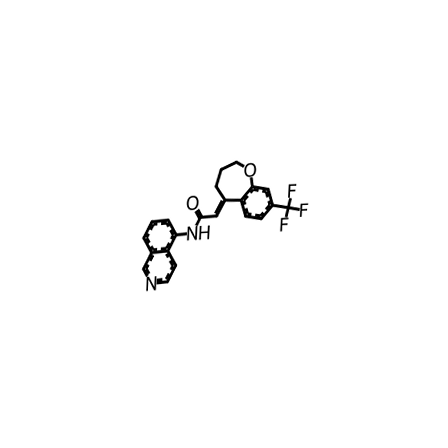 O=C(C=C1CCCOc2cc(C(F)(F)F)ccc21)Nc1cccc2cnccc12